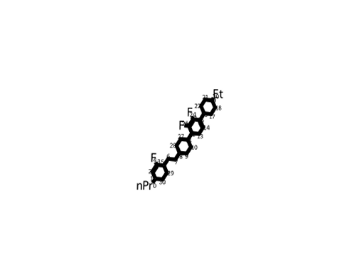 CCCC1C=C(F)C(CCC2CCC(C3CC=C(C4CCC(CC)CC4)C(F)=C3F)CC2)CC1